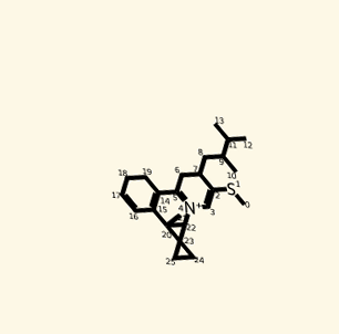 CSC1=C[N+]2=C(CC1CC(C)C(C)C)C1=C(C=CCC1)C1(C)C2C12CC2